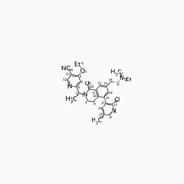 CCOc1cc([C@H](C)N2CCc3c(cc(CCN(C)CC)cc3-c3cc(C)cnc3Cl)C2=O)ncc1C#N